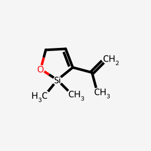 C=C(C)C1=CCO[Si]1(C)C